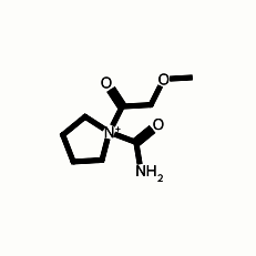 COCC(=O)[N+]1(C(N)=O)CCCC1